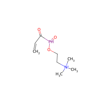 C=CC(=O)[PH](=O)OCC[N+](C)(C)C